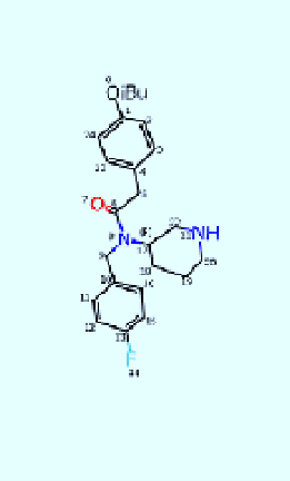 CC(C)COc1ccc(CC(=O)N(Cc2ccc(F)cc2)[C@@H]2CCCNC2)cc1